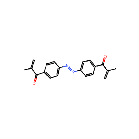 C=C(C)C(=O)c1ccc(N=Nc2ccc(C(=O)C(=C)C)cc2)cc1